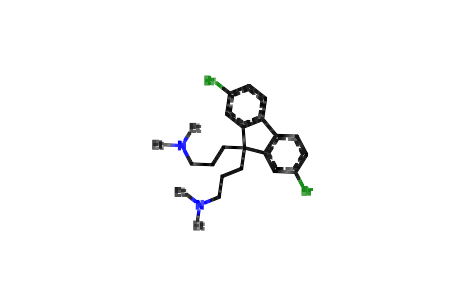 CCN(CC)CCCC1(CCCN(CC)CC)c2cc(Br)ccc2-c2ccc(Br)cc21